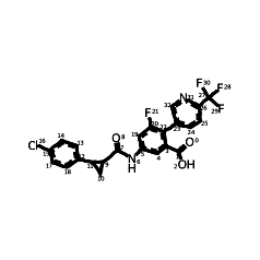 O=C(O)c1cc(NC(=O)C2CC2c2ccc(Cl)cc2)cc(F)c1-c1ccc(C(F)(F)F)nc1